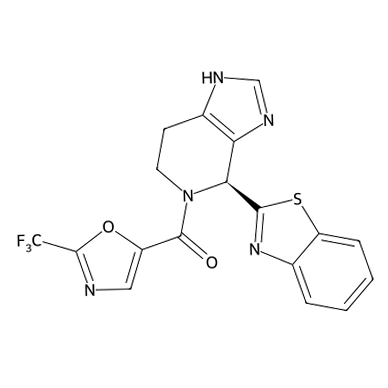 O=C(c1cnc(C(F)(F)F)o1)N1CCc2[nH]cnc2[C@H]1c1nc2ccccc2s1